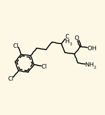 CC(CCCc1c(Cl)cc(Cl)cc1Cl)CC(CN)C(=O)O